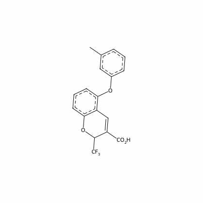 Cc1cccc(Oc2cccc3c2C=C(C(=O)O)C(C(F)(F)F)O3)c1